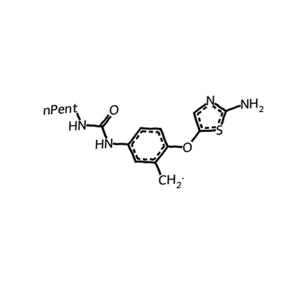 [CH2]c1cc(NC(=O)NCCCCC)ccc1Oc1cnc(N)s1